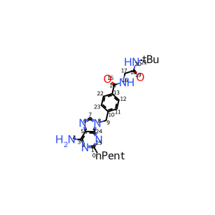 CCCCCc1nc(N)c2ncn(Cc3ccc(C(=O)NCC(=O)NC(C)(C)C)cc3)c2n1